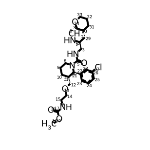 CN[C@H](CNC(=O)N1CCC[C@@H](COCCNC(=O)OC)[C@@H]1c1cccc(Cl)c1)C[C@H]1CCCOC1